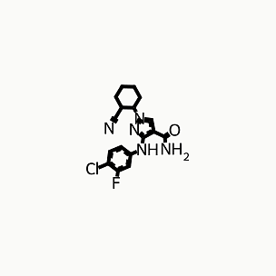 N#CC1CCCCC1n1cc(C(N)=O)c(Nc2ccc(Cl)c(F)c2)n1